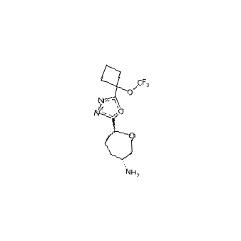 N[C@@H]1CC[C@@H](c2nnc(C3(OC(F)(F)F)CCC3)o2)OC1